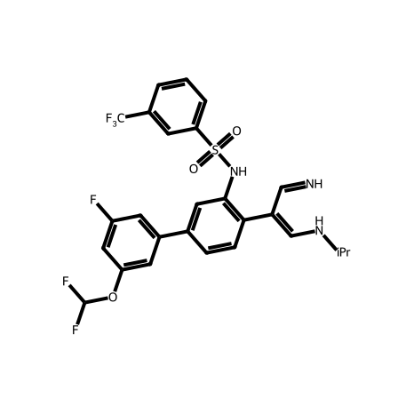 CC(C)N/C=C(\C=N)c1ccc(-c2cc(F)cc(OC(F)F)c2)cc1NS(=O)(=O)c1cccc(C(F)(F)F)c1